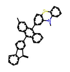 C=C1c2ccccc2-c2ccc(-c3c4ccccc4c(-c4ccc5c(c4)N(C)c4ccccc4S5)c4cc(C)ccc34)cc21